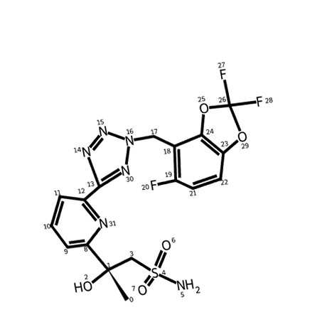 C[C@](O)(CS(N)(=O)=O)c1cccc(-c2nnn(Cc3c(F)ccc4c3OC(F)(F)O4)n2)n1